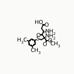 COC(=O)[C@@](N)(CSc1cc(C)cc(C)c1)C(=O)[C@@H](N)CC(=O)O